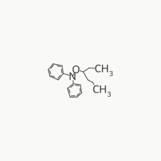 CCCC(CC)ON(c1ccccc1)c1ccccc1